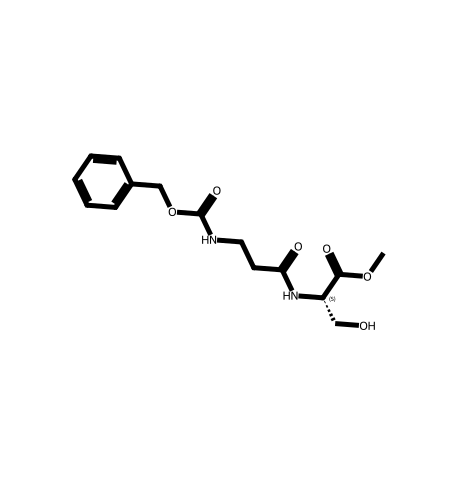 COC(=O)[C@H](CO)NC(=O)CCNC(=O)OCc1ccccc1